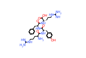 N=C(N)NCCC[C@H](NC(=O)[C@H](Cc1ccccc1)NC(=O)[C@H](Cc1ccc(O)cc1)NC(=O)[C@@H](N)CCCNC(=N)N)C(=O)O